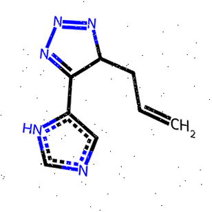 C=CCC1N=NN=C1c1cn[c][nH]1